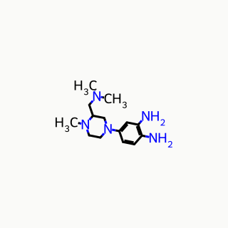 CN(C)CC1CN(c2ccc(N)c(N)c2)CCN1C